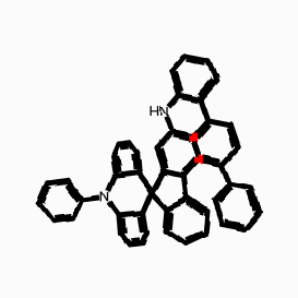 c1ccc(-c2ccc(-c3ccccc3Nc3ccc4c(c3)C3(c5ccccc5-4)c4ccccc4N(c4ccccc4)c4ccccc43)cc2)cc1